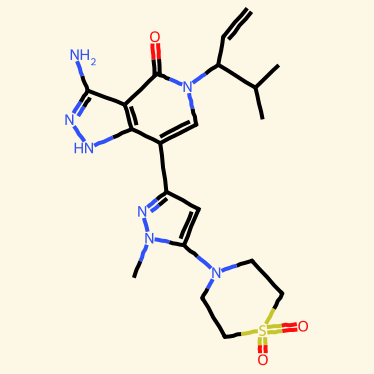 C=CC(C(C)C)n1cc(-c2cc(N3CCS(=O)(=O)CC3)n(C)n2)c2[nH]nc(N)c2c1=O